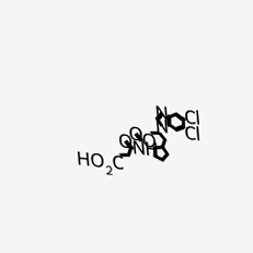 O=C(O)CCC(=O)NC(=O)OCC(CC1CCCC1)n1cnc2cc(Cl)c(Cl)cc21